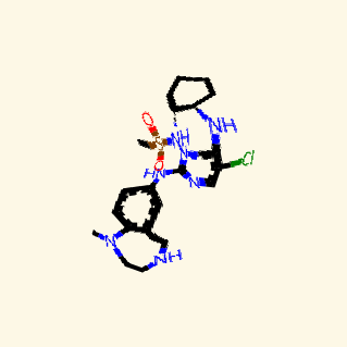 CN1CCNCc2cc(Nc3ncc(Cl)c(N[C@@H]4CCCC[C@H]4NS(C)(=O)=O)n3)ccc21